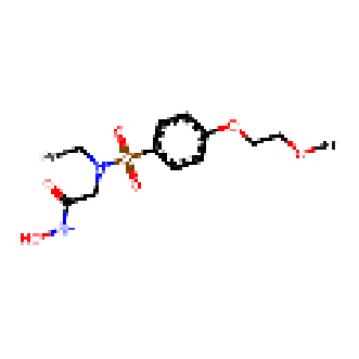 CCOCCOc1ccc(S(=O)(=O)N(CC(=O)NO)CC(C)C)cc1